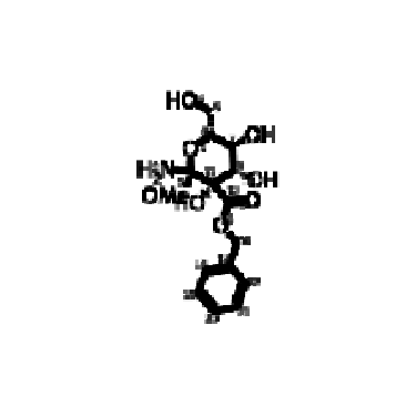 CO[C@@]1(N)O[C@H](CO)[C@@H](O)[C@H](O)[C@@]1(O)C(=O)OCc1ccccc1